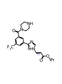 CC(C)OC(=O)/C=C/n1cnc(-c2cc(C(=O)N3CCNCC3)cc(C(F)(F)F)c2)n1